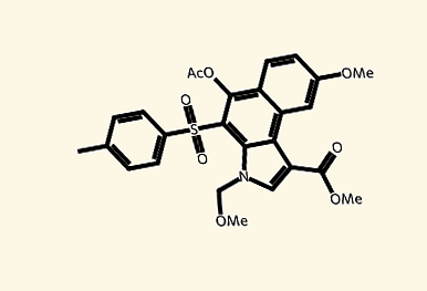 COCn1cc(C(=O)OC)c2c3cc(OC)ccc3c(OC(C)=O)c(S(=O)(=O)c3ccc(C)cc3)c21